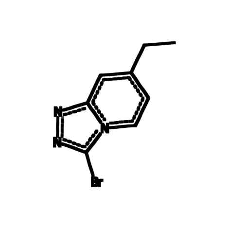 CCc1ccn2c(Br)nnc2c1